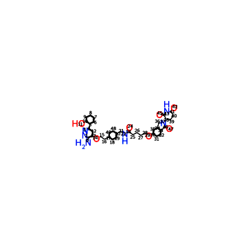 Nc1nnc(-c2ccccc2O)cc1OCCc1ccc(CNC(=O)CCCCOc2ccc3c(c2)CN(C2CCC(=O)NC2=O)C3=O)cc1